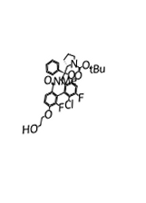 CNC(=O)c1ccc(OCCO)c(F)c1-c1c(Cl)c(F)cc2c1C[C@](c1ccccc1)([C@@H]1CCCN1C(=O)OC(C)(C)C)O2